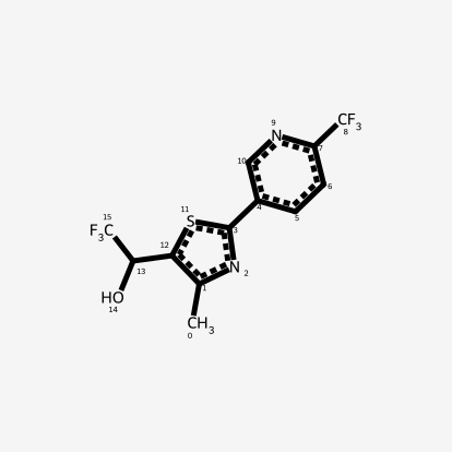 Cc1nc(-c2ccc(C(F)(F)F)nc2)sc1C(O)C(F)(F)F